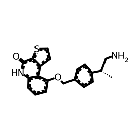 C[C@@H](CN)c1ccc(COc2cccc3[nH]c(=O)c4sccc4c23)cc1